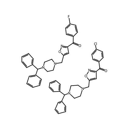 O=C(c1ccc(Cl)cc1)c1cc(CN2CCN(C(c3ccccc3)c3ccccc3)CC2)on1.O=C(c1ccc(F)cc1)c1cc(CN2CCN(C(c3ccccc3)c3ccccc3)CC2)on1